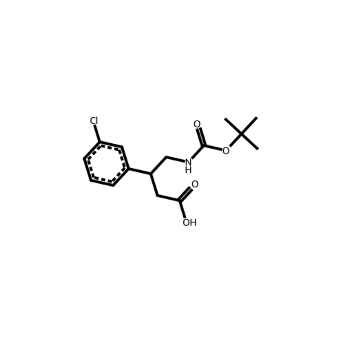 CC(C)(C)OC(=O)NCC(CC(=O)O)c1cccc(Cl)c1